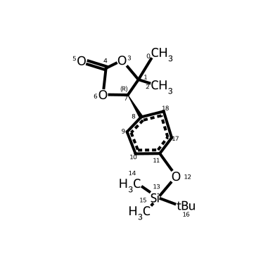 CC1(C)OC(=O)O[C@@H]1c1ccc(O[Si](C)(C)C(C)(C)C)cc1